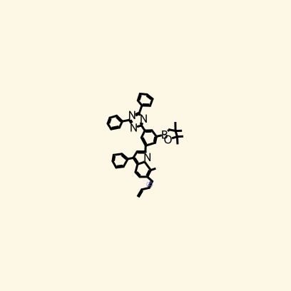 C=C/C=C\c1ccc2c(-c3ccccc3)cc(-c3cc(B4CC(C)(C)C(C)(C)O4)cc(-c4nc(-c5ccccc5)nc(-c5ccccc5)n4)c3)nc2c1C